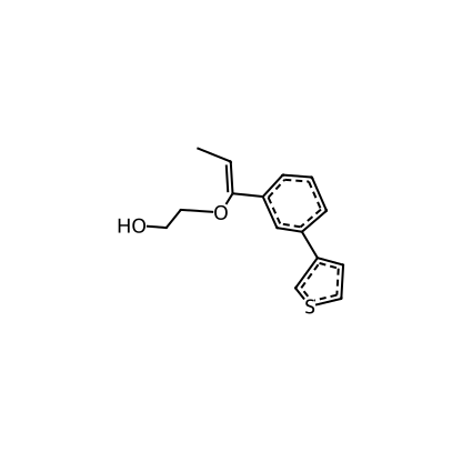 C/C=C(\OCCO)c1cccc(-c2ccsc2)c1